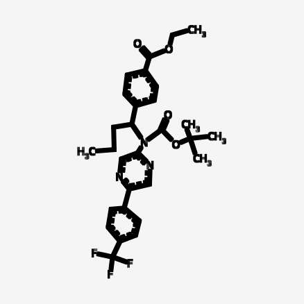 CCCC(c1ccc(C(=O)OCC)cc1)N(C(=O)OC(C)(C)C)c1cnc(-c2ccc(C(F)(F)F)cc2)cn1